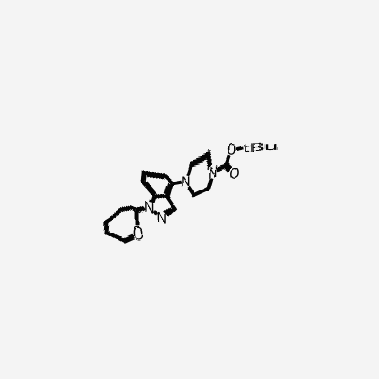 CC(C)(C)OC(=O)N1CCN(c2cccc3c2cnn3C2CCCCO2)CC1